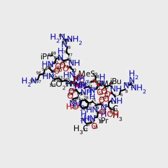 CC[C@H](C)[C@H](NC(=O)[C@H](CCCN=C(N)N)NC(=O)[C@@H](NC(=O)[C@H](Cc1ccc(O)cc1)NC(=O)[C@@H](NC(=O)[C@H](C)N)C(C)C)[C@@H](C)O)C(=O)N[C@@H](CCSC)C(=O)N[C@@H](CCSC)C(=O)N[C@@H](CC(N)=O)C(=O)NCC(=O)NCC(=O)N[C@@H](CCCN=C(N)N)C(=O)N[C@@H](CC(C)C)C(=O)N[C@@H](CCCCN)C(=O)N[C@@H](CCCN=C(N)N)C(=O)O